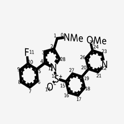 CNCc1cc(-c2ccccc2F)n([S+]([O-])c2cccc(-c3cncc(OC)c3)c2)c1